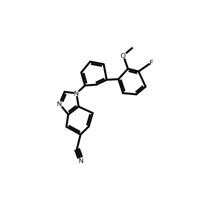 COc1c(F)cccc1-c1cccc(-n2cnc3cc(C#N)ccc32)c1